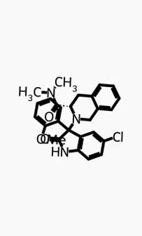 COc1ccccc1C1(N2Cc3ccccc3C[C@H]2C(=O)N(C)C)C(=O)Nc2ccc(Cl)cc21